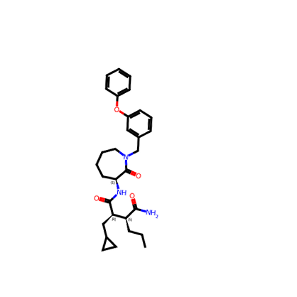 CCC[C@H](C(N)=O)[C@@H](CC1CC1)C(=O)N[C@H]1CCCCN(Cc2cccc(Oc3ccccc3)c2)C1=O